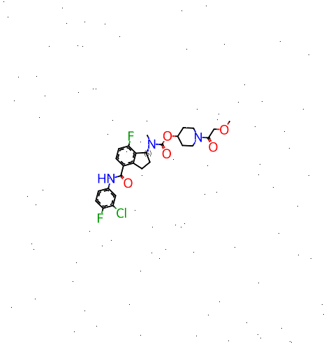 COCC(=O)N1CCC(OC(=O)N(C)[C@H]2CCc3c(C(=O)Nc4ccc(F)c(Cl)c4)ccc(F)c32)CC1